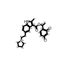 Cc1[nH]c2ccc(CCN3CCCC3)cc2c1C(=O)OC(C)c1ccc(Cl)cc1Cl